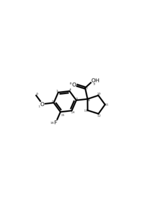 COc1ccc(C2(C(=O)O)CCCC2)cc1F